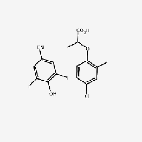 Cc1cc(Cl)ccc1OC(C)C(=O)O.N#Cc1cc(I)c(O)c(I)c1